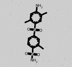 Cc1cc(S(=O)(=O)c2ccc(S(N)(=O)=O)c(C)c2)c(C)cc1N